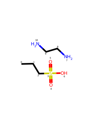 CCCS(=O)(=O)O.NCCN